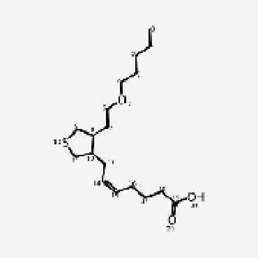 CCCCCOCC[C@@H]1CSC[C@@H]1C/C=C\CCCC(=O)O